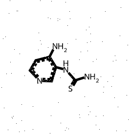 NC(=S)Nc1cnccc1N